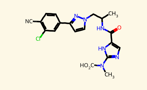 CC(Cn1ccc(-c2ccc(C#N)c(Cl)c2)n1)NC(=O)c1cnc(N(C)C(=O)O)[nH]1